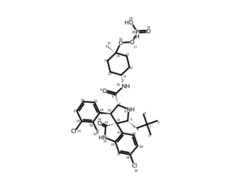 CC(C)(C)C[C@H]1N[C@@H](C(=O)N[C@H]2CC[C@](C)(OO[PH](=O)O)CC2)[C@H](c2cccc(Cl)c2F)[C@@]12C(=O)Nc1cc(Cl)ccc12